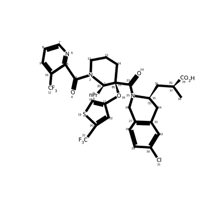 CCC[C@H]1N(C(=O)c2ncccc2C(F)(F)F)CCC[C@]1(Oc1csc(C(F)(F)F)c1)C(=O)N1Cc2ccc(Cl)cc2C[C@@H]1C[C@H](C)C(=O)O